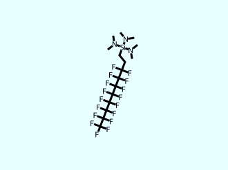 CN(C)[Si](CCC(F)(F)C(F)(F)C(F)(F)C(F)(F)C(F)(F)C(F)(F)C(F)(F)C(F)(F)F)(N(C)C)N(C)C